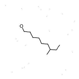 CCC(C)CCCCCC[O]